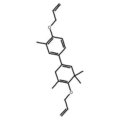 C=CCOC1=C(C)CC(c2ccc(OCC=C)c(C)c2)=CC1(C)C